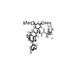 COc1cc(OC)cc(N(CCCN2CCC[C@@H]2C)c2ccc3ncc(-c4cnn(C)c4)nc3c2)c1